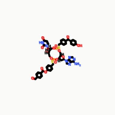 Nc1ncnc2c1ncn2[C@H]1C[C@@H]2OP(=O)(SCc3ccc(OC(=O)c4ccc(C=O)cc4)cc3)OC[C@H]3O[C@@H](n4ccc(=O)[nH]c4=O)[C@H](OP(=O)(SCc4ccc(C(=O)c5ccc(O)cc5)cc4)OC[C@H]2O1)[C@@H]3F